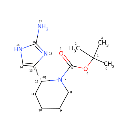 CC(C)(C)OC(=O)N1CCCC[C@@H]1c1c[nH]c(N)n1